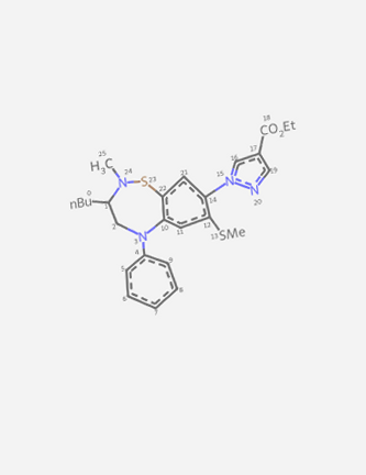 CCCCC1CN(c2ccccc2)c2cc(SC)c(-n3cc(C(=O)OCC)cn3)cc2SN1C